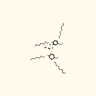 CCCCCCCOc1cc(OCCCCCCC)c(S(=O)(=O)C(=[N+]=[N-])S(=O)(=O)c2cc(CC)c(OCCCCCCC)cc2OCCCCCCC)cc1CC